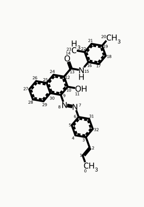 CC=Cc1ccc(N=Nc2c(O)c(C(=O)Nc3ccc(C)cc3C)cc3ccccc23)cc1